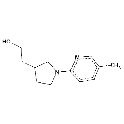 Cc1ccc(N2CCC(CCO)C2)nc1